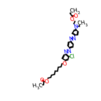 C=CC(=O)OCCN(CC)c1ccc(N=Nc2ccc(N=Nc3ccc(OCCCCCCCCCOC(=O)CC)cc3Cl)cc2)cc1